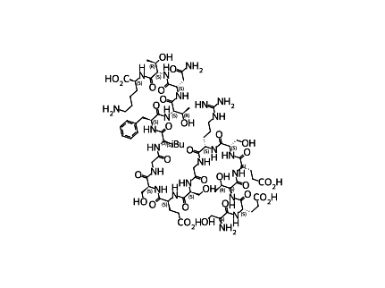 CC[C@H](C)[C@H](NC(=O)CNC(=O)[C@H](CO)NC(=O)[C@H](CCC(=O)O)NC(=O)[C@H](CO)NC(=O)CNC(=O)[C@H](CCCNC(=N)N)NC(=O)[C@H](CO)NC(=O)[C@H](CCC(=O)O)NC(=O)[C@@H](NC(=O)[C@H](CCC(=O)O)NC(=O)[C@@H](N)CO)[C@@H](C)O)C(=O)N[C@@H](Cc1ccccc1)C(=O)N[C@H](C(=O)N[C@@H](CC(N)=O)C(=O)N[C@H](C(=O)N[C@@H](CCCCN)C(=O)O)[C@@H](C)O)[C@@H](C)O